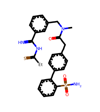 CCC(=S)NC(=N)c1cccc(CN(C)C(=O)Cc2ccc(-c3ccccc3S(N)(=O)=O)cc2)c1